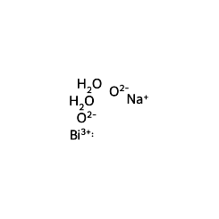 O.O.[Bi+3].[Na+].[O-2].[O-2]